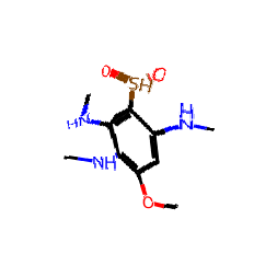 CNc1cc(OC)c(NC)c(NC)c1[SH](=O)=O